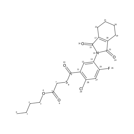 CCCCOC(=O)CSC(=O)c1cc(N2C(=O)C3=C(CCCC3)C2=O)c(F)cc1Cl